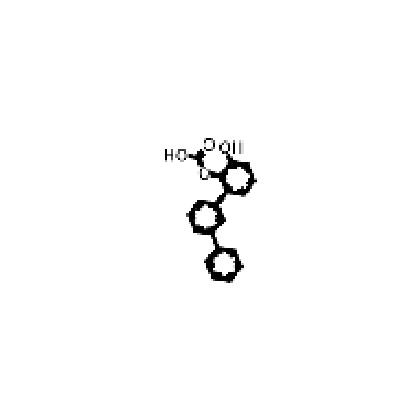 O=C(O)Oc1c(O)cccc1-c1cccc(-c2ccccc2)c1